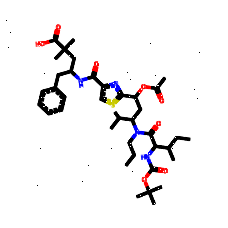 CCCN(C(=O)C(NC(=O)OC(C)(C)C)C(C)CC)C(CC(OC(C)=O)c1nc(C(=O)NC(Cc2ccccc2)CC(C)(C)C(=O)O)cs1)C(C)C